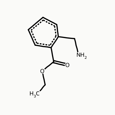 CCOC(=O)c1ccccc1CN